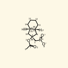 CC(=O)O[C@@]1(C[N+](=O)[O-])C[C@H]2CCCC[C@H]2C1